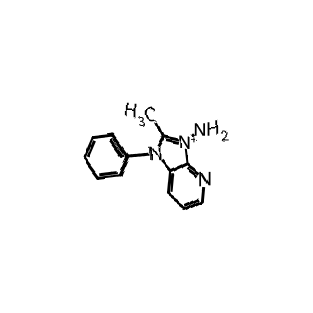 Cc1n(-c2ccccc2)c2cccnc2[n+]1N